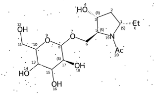 CC[C@H]1C[C@@H](O)[C@H](COC2OC(CO)C(O)C(O)[C@@H]2O)N1C(C)=O